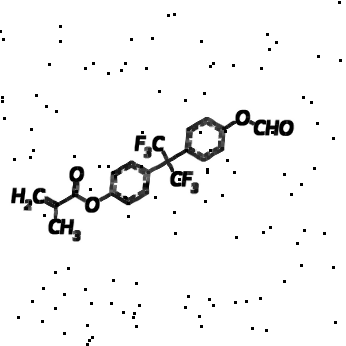 C=C(C)C(=O)Oc1ccc(C(c2ccc(OC=O)cc2)(C(F)(F)F)C(F)(F)F)cc1